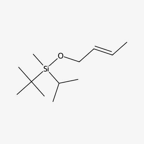 CC=CCO[Si](C)(C(C)C)C(C)(C)C